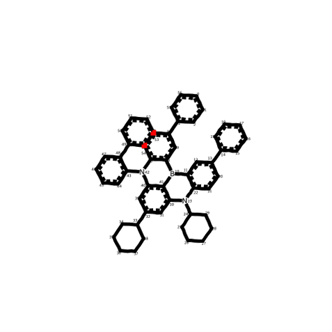 c1ccc(-c2ccc3c(c2)B2c4cc(-c5ccccc5)ccc4N(C4CCCCC4)c4cc(C5CCCCC5)cc(c42)N3c2ccccc2-c2ccccc2)cc1